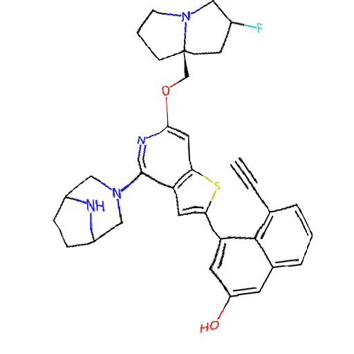 C#Cc1cccc2cc(O)cc(-c3cc4c(N5CC6CCC(C5)N6)nc(OC[C@@]56CCCN5CC(F)C6)cc4s3)c12